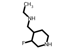 CCNCC1CCNCC1F